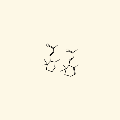 CC(=O)/C=C/C1C(C)=CCCC1(C)C.CC(=O)/C=C/C1C(C)=CCCC1(C)C